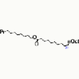 CCCCCCCC/C=C\CCCCCCCC(=O)OCCCCCCCCC(C)C